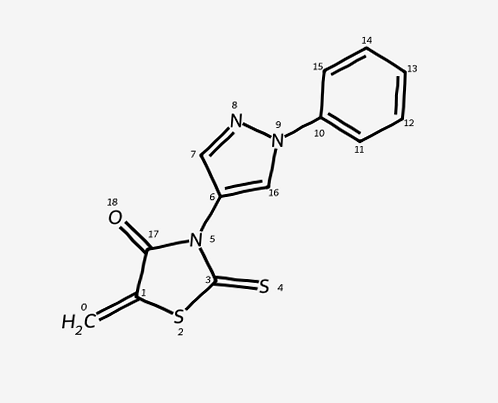 C=C1SC(=S)N(c2cnn(-c3ccccc3)c2)C1=O